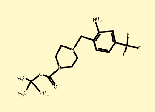 CC(C)(C)OC(=O)N1CCN(Cc2ccc(C(F)(F)F)cc2N)CC1